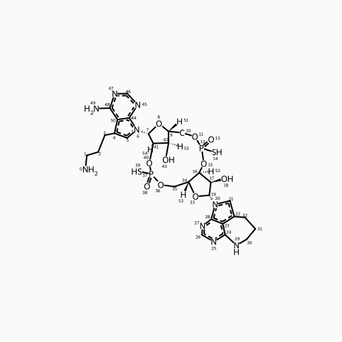 NCCCc1cn([C@@H]2O[C@@H]3COP(=O)(S)O[C@H]4[C@@H](O)[C@H](n5cc6c7c(ncnc75)NCCC6)O[C@@H]4COP(=O)(S)O[C@@H]2[C@@H]3O)c2ncnc(N)c12